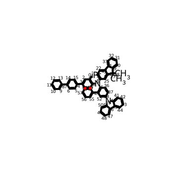 CC(C)c1cc(-c2ccc(-c3ccccc3)cc2)ccc1N(c1ccc2c(c1)C(C)(C)c1ccccc1-2)c1ccc(-n2c3ccccc3c3ccccc32)cc1-c1ccccc1